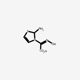 NC1SC=CN1C(=NO)C(=O)O